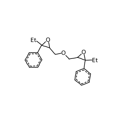 CCC1(c2ccccc2)OC1COCC1OC1(CC)c1ccccc1